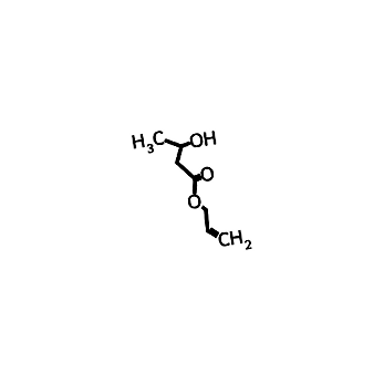 C=CCOC(=O)CC(C)O